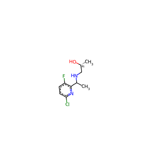 CC(NC[C@@H](C)O)c1nc(Cl)ccc1F